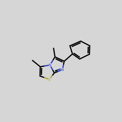 Cc1csc2nc(-c3ccccc3)c(C)n12